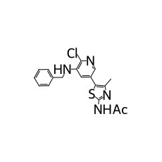 CC(=O)Nc1nc(C)c(-c2cnc(Cl)c(NCc3ccccc3)c2)s1